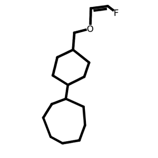 F/C=C\OCC1CCC(C2CCCCCCC2)CC1